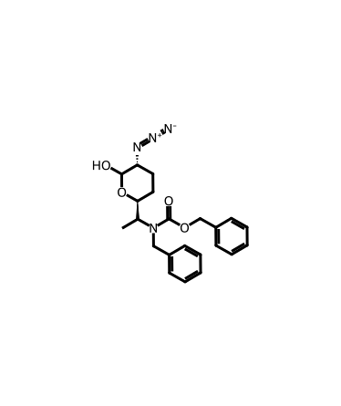 CC([C@@H]1CC[C@@H](N=[N+]=[N-])C(O)O1)N(Cc1ccccc1)C(=O)OCc1ccccc1